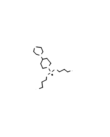 CCCCCCCCCCCCCOP(=O)(OCCCCCCCCCCCCC)N1CCC(N2CCOCC2)CC1